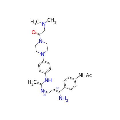 C=C(/N=C\C=C(/N)c1ccc(NC(C)=O)cc1)Nc1ccc(N2CCN(C(=O)CN(C)C)CC2)cc1